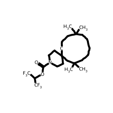 CC1(C)CCCCCC(C)(C)CC2(CCC1)CCN(C(=O)OC(C(F)(F)F)C(F)(F)F)CC2